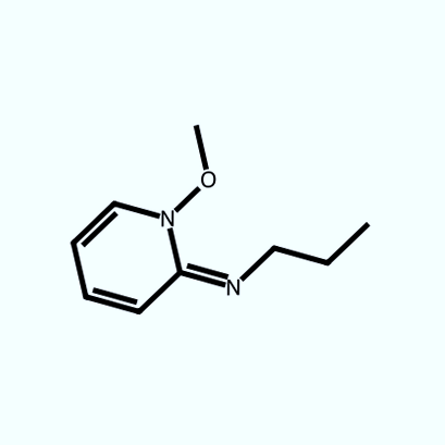 CCC/N=c1/ccccn1OC